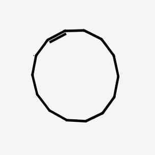 [CH]1C=CCCCCCCCCCCC1